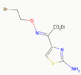 CCOC(=O)C(=NOCCBr)c1csc(N)n1